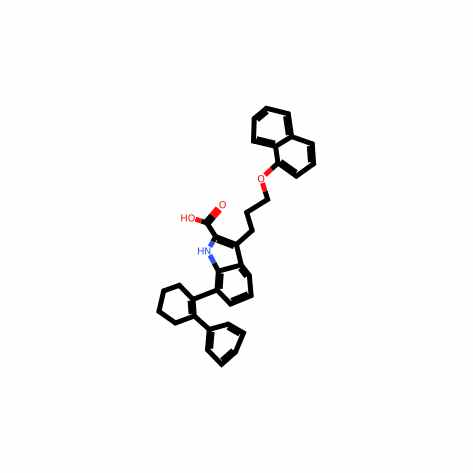 O=C(O)c1[nH]c2c(C3=C(c4ccccc4)CCCC3)cccc2c1CCCOc1cccc2ccccc12